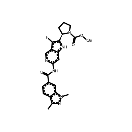 Cc1nn(C)c2cc(C(=O)Nc3cc4[nH]c([C@H]5CCCN5C(=O)OC(C)(C)C)c(F)c4cn3)ccc12